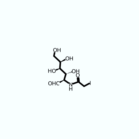 O=C[C@H](NC(=O)CI)[C@@H](O)[C@@H](O)[C@H](O)CO